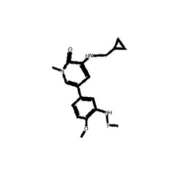 COc1ccc(-c2cc(NCC3CC3)c(=O)n(C)c2)cc1NSC